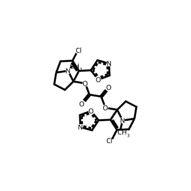 CN1C2CCC1(OC(=O)C(=O)OC13CCC(CC(Cl)=C1c1cnco1)N3C)C(c1cnco1)=C(Cl)C2